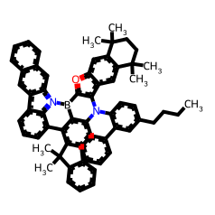 CCCCc1ccc(N2c3cc4c(c5c3B(c3oc6cc7c(cc6c32)C(C)(C)CCC7(C)C)n2c3cc6ccccc6cc3c3cccc-5c32)C(C)(C)c2ccccc2-4)c(-c2ccccc2)c1